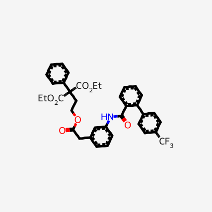 CCOC(=O)C(CCOC(=O)Cc1cccc(NC(=O)c2ccccc2-c2ccc(C(F)(F)F)cc2)c1)(C(=O)OCC)c1ccccc1